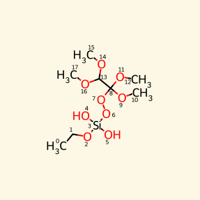 CCO[Si](O)(O)OOC(OC)(OC)C(OC)OC